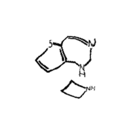 C1=NCNc2ccsc21.C1CNC1